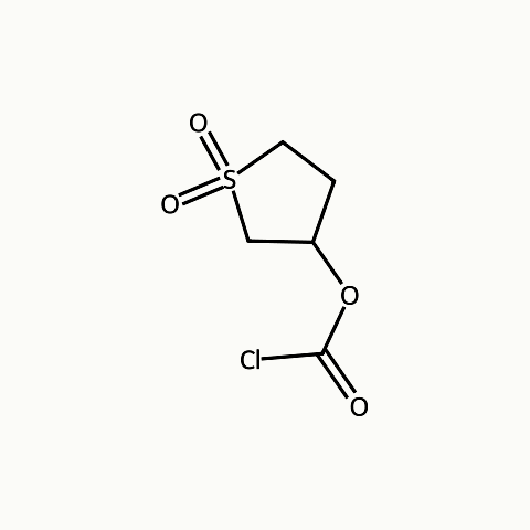 O=C(Cl)OC1CCS(=O)(=O)C1